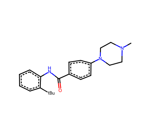 CN1CCN(c2ccc(C(=O)Nc3ccccc3C(C)(C)C)cc2)CC1